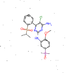 COc1ccc(P(C)(C)=O)cc1Nc1nc(N)c(Cl)c(-c2ccccc2S(=O)(=O)C(C)C)n1